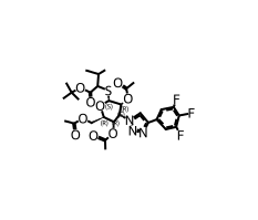 CC(=O)OC[C@H]1O[C@@H](SC(C(=O)OC(C)(C)C)C(C)C)[C@H](OC(C)=O)[C@@H](n2cc(-c3cc(F)c(F)c(F)c3)nn2)[C@H]1OC(C)=O